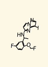 CC(Nc1ccn2ncc(I)c2n1)c1cc(F)ccc1OCF